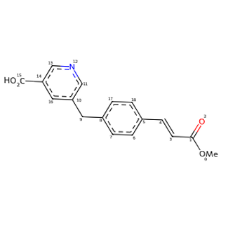 COC(=O)C=Cc1ccc(Cc2cncc(C(=O)O)c2)cc1